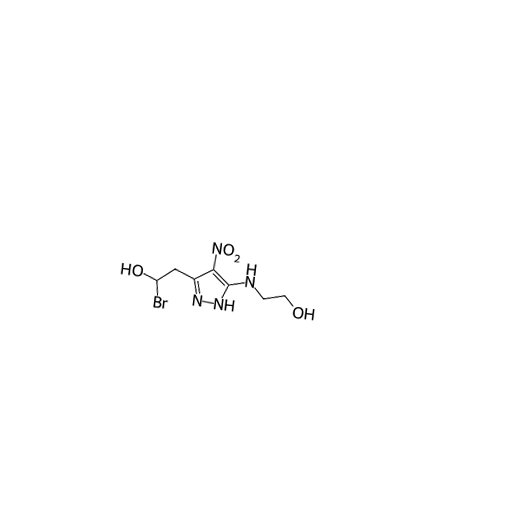 O=[N+]([O-])c1c(CC(O)Br)n[nH]c1NCCO